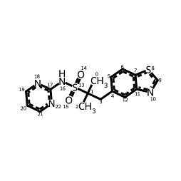 CC(C)(Cc1ccc2scnc2c1)S(=O)(=O)Nc1ncccn1